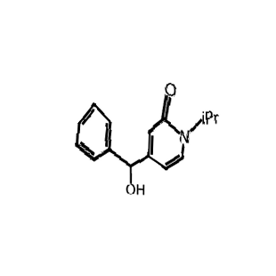 CC(C)n1ccc(C(O)c2ccccc2)cc1=O